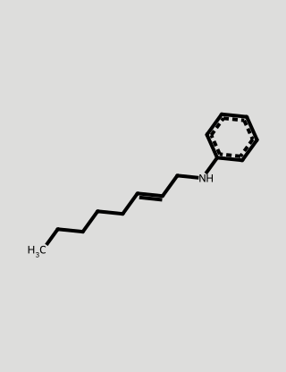 CCCCCC=CCNc1ccccc1